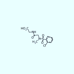 CN(CC(=O)NCC(=O)O)S(=O)(=O)c1ccccc1Cl